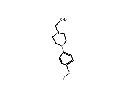 [CH2]CN1CCN(c2ccc(OC)cc2)CC1